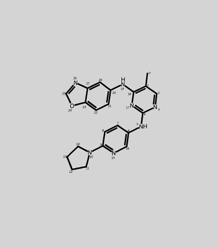 Cc1cnc(Nc2ccc(N3CCCC3)nc2)nc1Nc1ccc2ocnc2c1